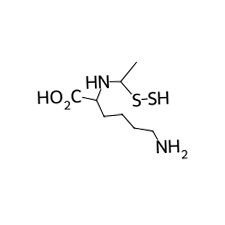 CC(NC(CCCCN)C(=O)O)SS